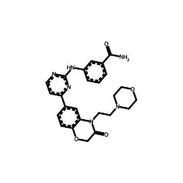 NC(=O)c1cccc(Nc2nccc(-c3ccc4c(c3)N(CCN3CCOCC3)C(=O)CO4)n2)c1